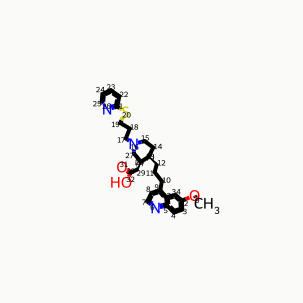 COc1ccc2nccc(CCC[C@@H]3CCN(CCCSc4ccccn4)C[C@@H]3CC(=O)O)c2c1